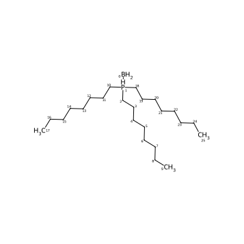 B[PH](CCCCCCCC)(CCCCCCCC)CCCCCCCC